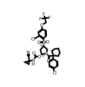 N#CC1(NC(=O)O[C@H]2C[C@@H](S(=O)(=O)c3ccc(OCC(F)(F)F)cc3Cl)CN2C(=O)C2(c3ccc(Cl)cc3)CCCCC2)CC1